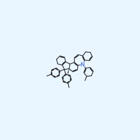 Cc1ccc(C2(c3ccc(C)cc3)C3=C(C=CCC3)C3C4=C(C=C[C@@]32C)N(C2=CC(C)CC=C2)C2=C(C=C4)CCC=C2)cc1